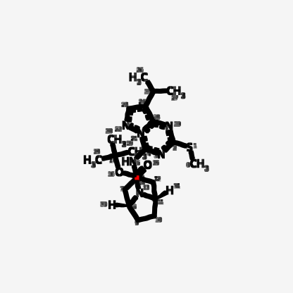 CSc1nc(NC2C[C@H]3CC[C@@H](C2)N3C(=O)OC(C)(C)C)n2ncc(C(C)C)c2n1